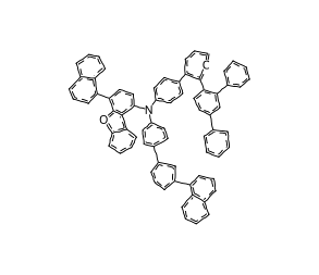 c1ccc(-c2ccc(-c3ccccc3-c3ccc(N(c4ccc(-c5cccc(-c6cccc7ccccc67)c5)cc4)c4ccc(-c5cccc6ccccc56)c5oc6ccccc6c45)cc3)c(-c3ccccc3)c2)cc1